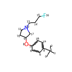 CC(C)(C)c1ccc(OC2CCN(CCCF)C2)cc1